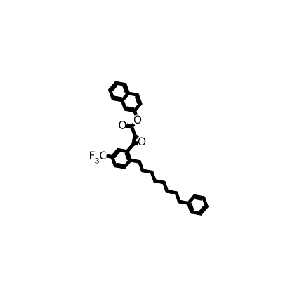 O=C(Oc1ccc2ccccc2c1)C1OC1c1cc(C(F)(F)F)ccc1CCCCCCCCc1ccccc1